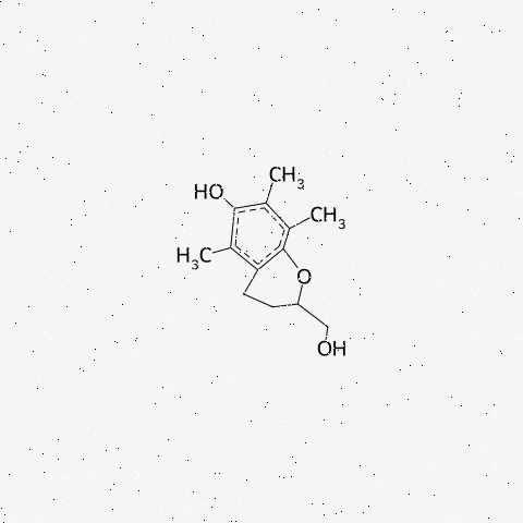 Cc1c(C)c2c(c(C)c1O)CCC(CO)O2